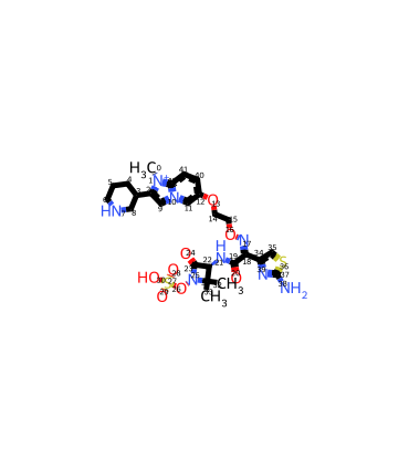 C[n+]1c(C2CCCNC2)cn2cc(OCCO/N=C(\C(=O)N[C@@H]3C(=O)N(OS(=O)(=O)O)C3(C)C)c3csc(N)n3)ccc21